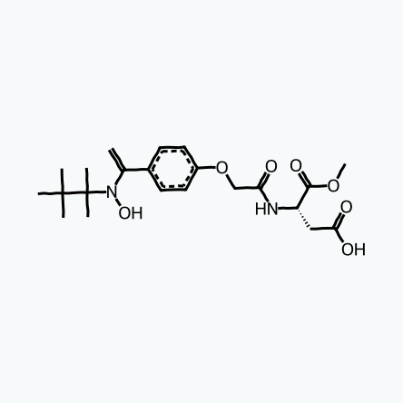 C=C(c1ccc(OCC(=O)N[C@@H](CC(=O)O)C(=O)OC)cc1)N(O)C(C)(C)C(C)(C)C